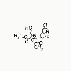 CCOC(=O)c1oc(C(C(=O)OC)c2cc(F)c3ncc(Cl)cc3c2)nc1CCO